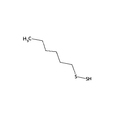 CCCCCCSS